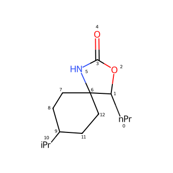 CCCC1OC(=O)NC12CCC(C(C)C)CC2